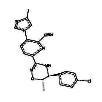 COc1nc(C2=NO[C@@H](C)[C@H](c3ccc(Cl)cc3)N2)ccc1-n1cnc(C)c1